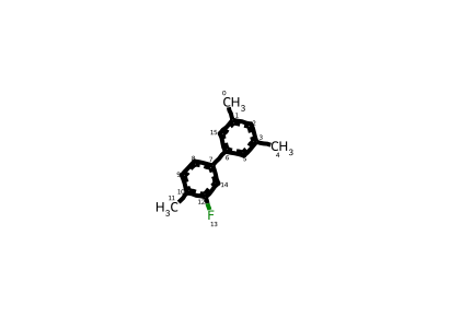 Cc1cc(C)cc(-c2ccc(C)c(F)c2)c1